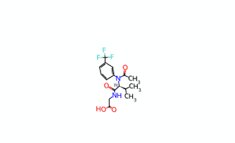 CC(=O)N(c1cccc(C(F)(F)F)c1)[C@H](C(=O)NCC(=O)O)C(C)C